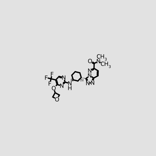 CN(C)C(=O)c1ccc2nnc([C@H]3CCC[C@@H](Nc4ncc(C(F)(F)F)c(OC5COC5)n4)C3)n2n1